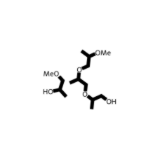 COC(C)COC(C)COC(C)CO.COCC(C)O